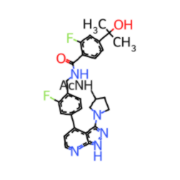 CC(=O)NC1CCN(c2n[nH]c3nccc(-c4ccc(CNC(=O)c5ccc(C(C)(C)O)cc5F)c(F)c4)c23)C1